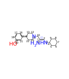 N/C(=C\NC1CCCCC1)CN1CCC(c2cccc(O)c2)CC1